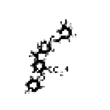 O=C(c1ccc(Oc2ccccc2)c(C(=O)O)c1)c1ccc(OCc2cccc(C(F)(F)F)c2)cn1